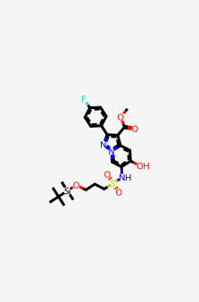 COC(=O)c1c(-c2ccc(F)cc2)nn2cc(NS(=O)(=O)CCCO[Si](C)(C)C(C)(C)C)c(O)cc12